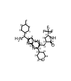 CC1CCC([C@H](N)c2cn3nc(C[C@H]4C[C@@H](C(F)(F)F)NC4=O)c(C4CCOCC4)nc3n2)CC1